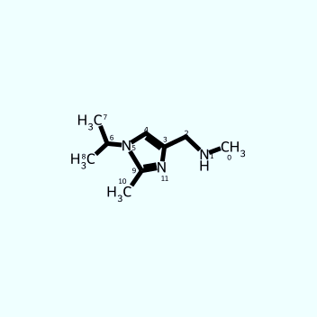 CNCc1cn(C(C)C)c(C)n1